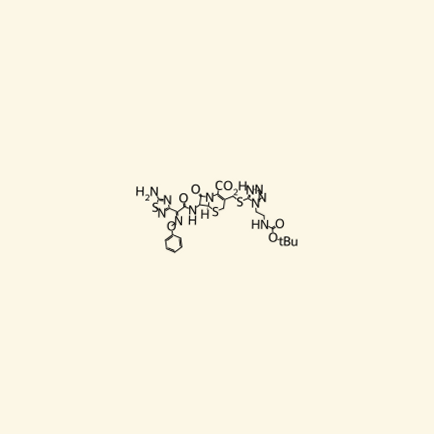 CC(C)(C)OC(=O)NCCn1nnnc1SCC1=C(C(=O)O)N2C(=O)C(NC(=O)C(=NOc3ccccc3)c3nsc(N)n3)[C@@H]2SC1